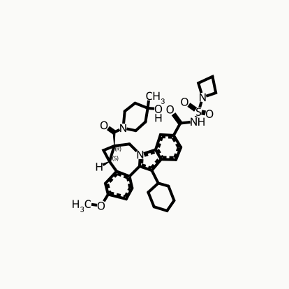 COc1ccc2c(c1)[C@@H]1C[C@]1(C(=O)N1CCC(C)(O)CC1)Cn1c-2c(C2CCCCC2)c2ccc(C(=O)NS(=O)(=O)N3CCC3)cc21